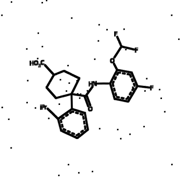 CC(C)c1ccccc1C1(C(=O)Nc2ccc(F)cc2OC(F)F)CCC(C(=O)O)CC1